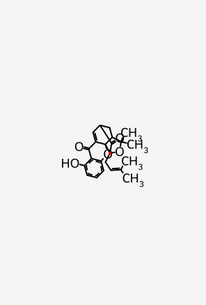 CC(C)=CCC12OC(C)(C)C3CC(C=C4C(=O)c5c(O)cccc5OC431)C2=O